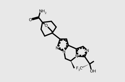 C[C@H]1Cn2nc(C34CCC(C(N)=O)(CC3)OC4)cc2-c2cnc([C@@](C)(O)C(F)(F)F)n21